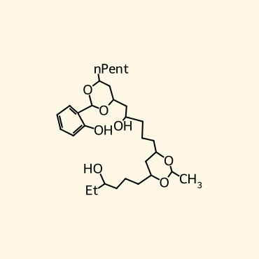 CCCCCC1CC(CC(O)CCCC2CC(CCCC(O)CC)OC(C)O2)OC(c2ccccc2O)O1